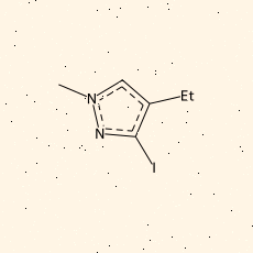 CCc1cn(C)nc1I